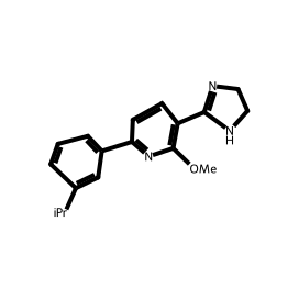 COc1nc(-c2cccc(C(C)C)c2)ccc1C1=NCCN1